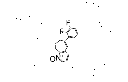 [O-][n+]1cccc2c1CCCC(c1cccc(F)c1F)=C2